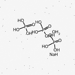 O.O=P(O)(O)O.O=P(O)(O)O.O=P(O)(O)O.[NaH]